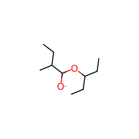 CCC(CC)OC([O])C(C)CC